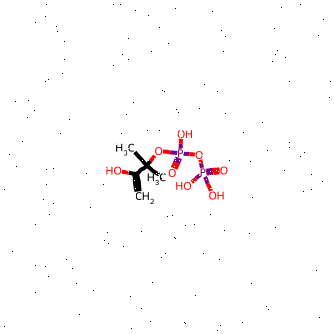 C=C(O)C(C)(C)OP(=O)(O)OP(=O)(O)O